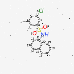 Cc1cc(Cl)cc(S(=O)(=O)Nc2cccc3ccccc23)c1